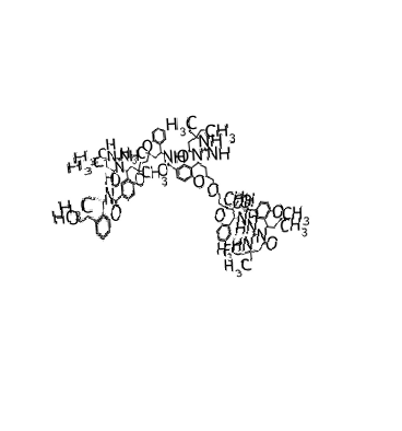 CC[C@H](NC(=O)c1ccc2c(c1)[C@H](N1C(=N)NC(C)(C)CC1=O)CC(C)(CCC1(C)C[C@H](NC(=O)c3ccc4c(c3)[C@H](N3C(=N)NC(CC)(CC)CC3=O)CC(COCCC3(C)Oc5ccc(F)cc5[C@@H](NC(=O)c5ccc6c(c5)[C@H](N5C(=N)NC(CC)(CC)CC5=O)CC(C)(C)O6)[C@@H]3O)O4)c3ccccc3O1)O2)c1ccccc1CCO